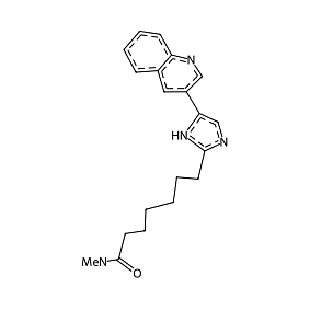 CNC(=O)CCCCCCc1ncc(-c2cnc3ccccc3c2)[nH]1